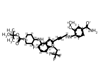 COc1cc(C(N)=O)ccc1NCC#Cc1cc2c(NC3CCN(C(=O)OC(C)(C)C)CC3F)cccc2n1CC(F)(F)F